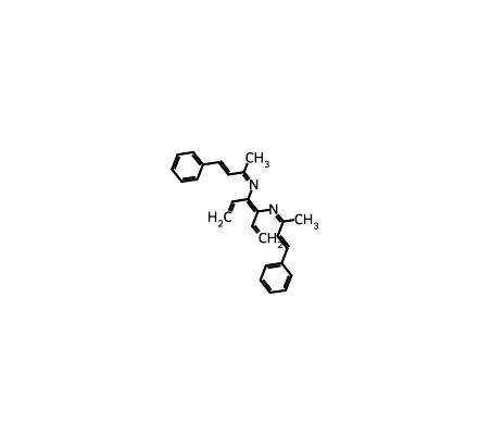 C=CC(/N=C(C)\C=C\c1ccccc1)=C(C=C)/N=C(C)\C=C\c1ccccc1